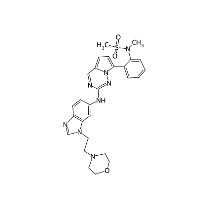 CN(c1ccccc1-c1ccc2cnc(Nc3ccc4ncn(CCN5CCOCC5)c4c3)nn12)S(C)(=O)=O